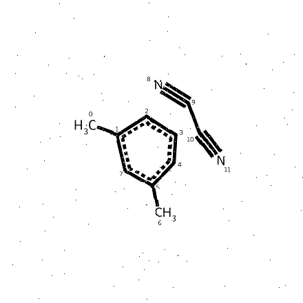 Cc1cccc(C)c1.N#CC#N